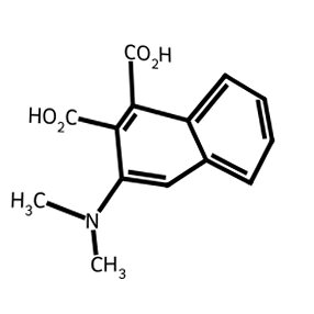 CN(C)c1cc2ccccc2c(C(=O)O)c1C(=O)O